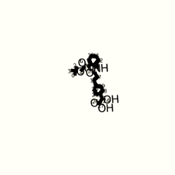 CC(C)(C)OC(=O)Nc1ccccc1NC(=O)C=Cc1ccc(C(O)C(=O)O)cc1